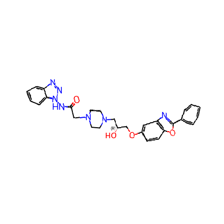 O=C(CN1CCN(C[C@@H](O)COc2ccc3oc(-c4ccccc4)nc3c2)CC1)Nn1nnc2ccccc21